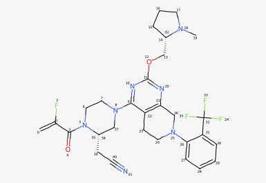 C=C(F)C(=O)N1CCN(c2nc(OC[C@@H]3CCCN3C)nc3c2CCN(c2ccccc2C(F)(F)F)C3)C[C@@H]1CC#N